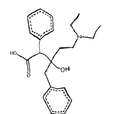 CCN(CC)CCC(O)(Cc1ccccc1)C(C(=O)O)c1ccccc1